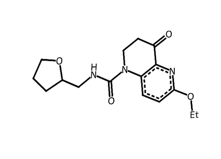 CCOc1ccc2c(n1)C(=O)CCN2C(=O)NCC1CCCO1